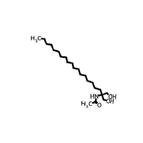 CCCCCCCCCCCCCCCCCCC(CO)(CO)NC(C)=O